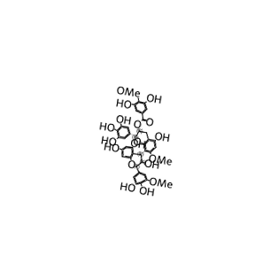 COc1cc([C@H]2Oc3cc(O)cc(O)c3[C@H](c3c(OC)cc(O)c4c3O[C@H](c3cc(O)c(O)c(O)c3)[C@H](OC(=O)c3cc(O)c(OC)c(O)c3)C4)[C@H]2O)cc(O)c1O